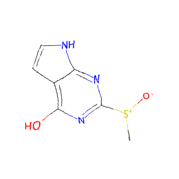 C[S+]([O-])c1nc(O)c2cc[nH]c2n1